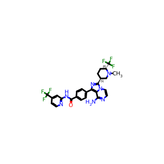 CN1C[C@@H](c2nc(-c3ccc(C(=O)Nc4cc(C(F)(F)F)ccn4)cc3)c3c(N)nccn23)CC[C@@H]1C(F)(F)F